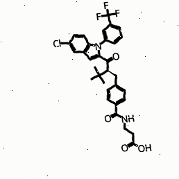 CC(C)(C)[C@H](Cc1ccc(C(=O)NCCC(=O)O)cc1)C(=O)c1cc2cc(Cl)ccc2n1-c1cccc(C(F)(F)F)c1